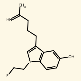 CC(=N)CCCc1cn(CCF)c2ccc(O)cc12